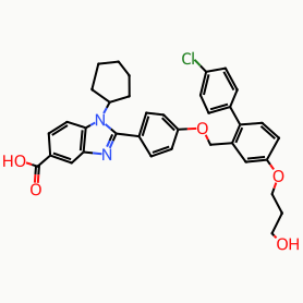 O=C(O)c1ccc2c(c1)nc(-c1ccc(OCc3cc(OCCCO)ccc3-c3ccc(Cl)cc3)cc1)n2C1CCCCC1